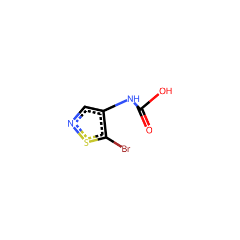 O=C(O)Nc1cnsc1Br